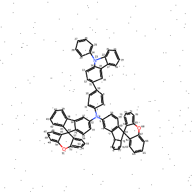 C1=CC2c3cc(N(c4ccc(-c5ccc6c(c5)c5ccccc5n6-c5ccccc5)cc4)c4ccc5c(c4)-c4ccccc4C54c5ccccc5Oc5ccccc54)ccc3C3(c4ccccc4Oc4ccccc43)C2C=C1